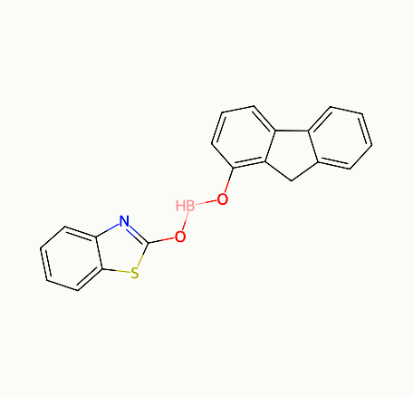 B(Oc1nc2ccccc2s1)Oc1cccc2c1Cc1ccccc1-2